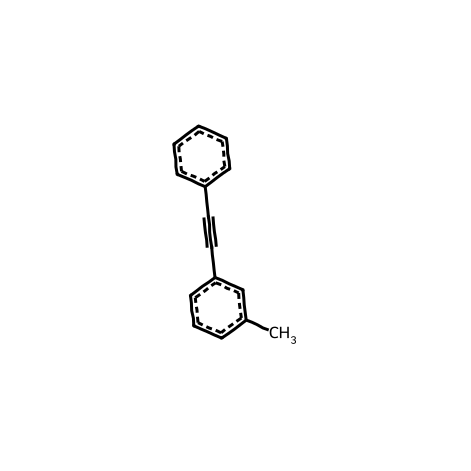 Cc1cccc(C#Cc2ccccc2)c1